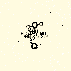 CC(C)(NC(=O)Cc1ccccc1)C(=O)Nc1cc(Cl)ccc1Cl.CCN